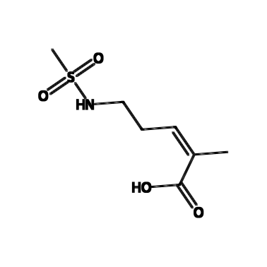 CC(=CCCNS(C)(=O)=O)C(=O)O